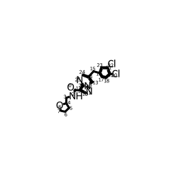 O=C(NCC1CCCO1)c1cnn2cc(Cc3ccc(Cl)c(Cl)c3)cnc12